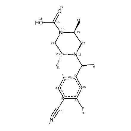 CC(c1ccc(C#N)c(F)c1)N1C[C@H](C)N(C(=O)O)C[C@H]1C